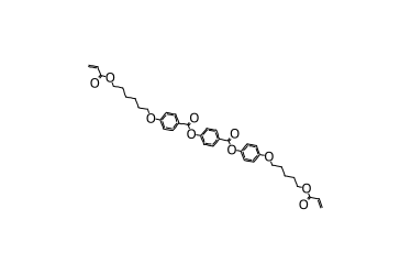 C=CC(=O)OCCCCCCOc1ccc(C(=O)Oc2ccc(C(=O)Oc3ccc(OCCCCCOC(=O)C=C)cc3)cc2)cc1